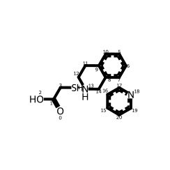 O=C(O)CS.c1ccc2c(c1)CCNC2.c1ccncc1